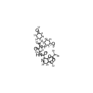 COc1ccc(C(c2ccc(OC)cc2)[C@H](C)NC(=O)C(C)(C)NC(=O)c2nccc(OC)c2OC(=O)C(C)C)cc1